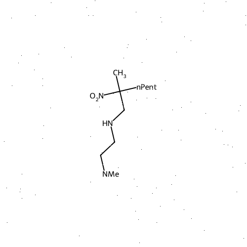 CCCCCC(C)(CNCCNC)[N+](=O)[O-]